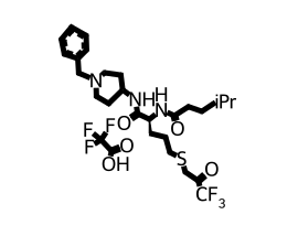 CC(C)CCC(=O)N[C@@H](CCCSCC(=O)C(F)(F)F)C(=O)NC1CCN(Cc2ccccc2)CC1.O=C(O)C(F)(F)F